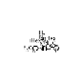 CCCCCCC(N)(CCCCCC)c1nc(Nc2ccc(C(F)(F)F)nc2)c2ccc(-c3ncccc3C(F)(F)F)cc2n1